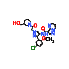 COc1ccc(Cl)cc1-c1nn(CC(=O)N2CCCC(CO)C2)cc1NC(=O)c1cnn2cccnc12